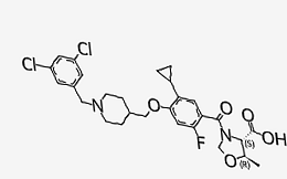 C[C@H]1OCN(C(=O)c2cc(C3CC3)c(OCC3CCN(Cc4cc(Cl)cc(Cl)c4)CC3)cc2F)[C@@H]1C(=O)O